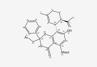 C=C(C)[C@@H]1CCC(C)=C[C@H]1c1c(O)cc(CCCCC)c2c1OC(CC(C)=O)(c1ccccc1)OC2=O